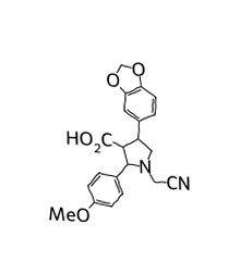 COc1ccc(C2C(C(=O)O)C(c3ccc4c(c3)OCO4)CN2CC#N)cc1